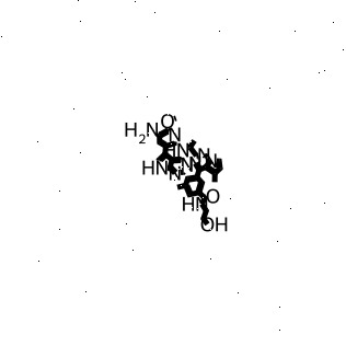 COc1ncc(-c2c[nH]c3ncnc(NC(C)c4nc(-c5cc(C)cc(C(=O)NCCO)c5)c5c(C)ccn5n4)c23)cc1N